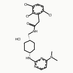 CN(C)c1ccnc(N[C@H]2CC[C@@H](CNC(=O)Cc3c(Cl)ccc(Cl)c3Cl)CC2)n1.Cl